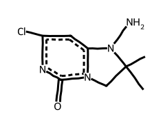 CC1(C)Cn2c(cc(Cl)nc2=O)N1N